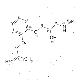 C=C(C)COc1ccccc1OCC(O)CNC(C)C